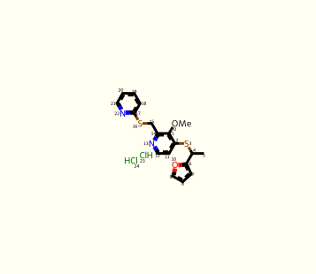 COc1c(SC(C)c2ccco2)ccnc1CSc1ccccn1.Cl.Cl